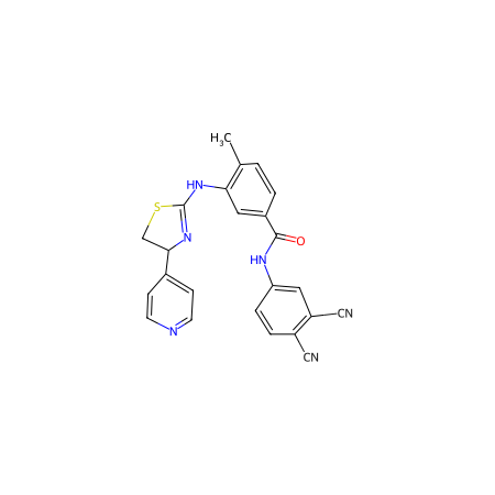 Cc1ccc(C(=O)Nc2ccc(C#N)c(C#N)c2)cc1NC1=NC(c2ccncc2)CS1